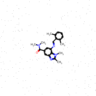 Cc1cccc(C)c1/C=N/c1cc(C(=O)N(C)C)cc2nc(C)n(C)c12